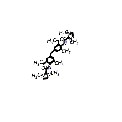 CCc1cc(Cc2cc(C)c(/N=C(\[O-])c3n(C)cc[n+]3C)c(CC)c2)cc(C)c1/N=C(\[O-])c1n(C)cc[n+]1C